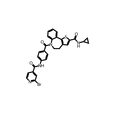 O=C(Nc1ccc(C(=O)N2CCc3cc(C(=O)NC4CC4)sc3-c3ccccc32)cc1)c1ccnc(Br)c1